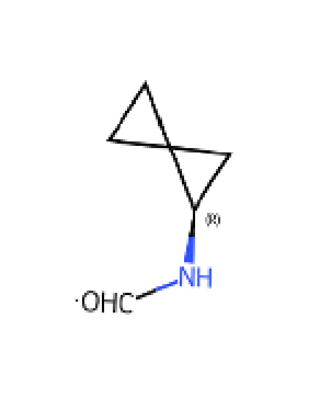 O=[C]N[C@@H]1CC12CC2